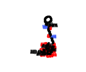 CCCCCCC(C)(NC(=O)CCCCC(=O)NCCCCCO[C@@H]1OC2O[C@@H]2C(O[C@@H]2OC(C)[C@@H](O)C(O[C@@H]3OC(C(=O)O)[C@@H](O)C(O)C3O[C@@H]3OC(C)[C@@H](O)C(O)C3NC(C)=O)C2NC(C)=O)C1NC(C)=O)C1CCCCCCCCCCC1